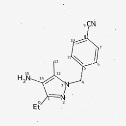 CCc1nn(Cc2ccc(C#N)cc2)c(C)c1N